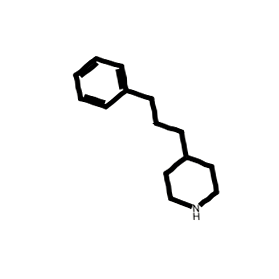 [CH](Cc1ccccc1)CC1CCNCC1